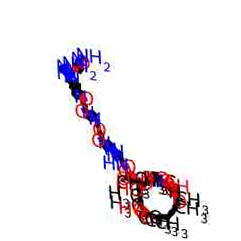 CO[C@H]1C[C@@H]2CC[C@@H](C)[C@@](O)(O2)C(=O)C(=O)N2CCCC[C@H]2C(=O)O[C@H]([C@H](C)C[C@@H]2CC[C@@H](OC(=O)NCc3cnc(N4CCN(C(=O)CCOCCN5CCN(C(=O)CCC(=O)N6CCc7cc(Cn8nc(-c9ccc%10oc(N)nc%10c9)c9c(N)ncnc98)ccc7C6)CC5)CC4)nc3)[C@H](OC)C2)C[C@@H](O)[C@H](C)/C=C(\C)[C@@H](O)[C@@H](OC)C(=O)[C@H](C)C[C@H](C)/C=C/C=C/C=C/1C